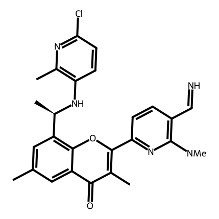 CNc1nc(-c2oc3c([C@@H](C)Nc4ccc(Cl)nc4C)cc(C)cc3c(=O)c2C)ccc1C=N